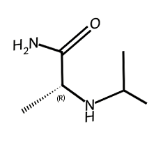 CC(C)N[C@H](C)C(N)=O